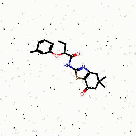 CCC(Oc1cccc(C)c1)C(=O)Nc1nc2c(s1)C(=O)CC(C)(C)C2